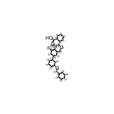 O=C(O)c1ccccc1C(=O)Nc1c(F)cc(-c2cccc(OCc3ccccc3)c2)cc1F